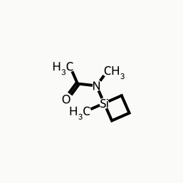 CC(=O)N(C)[Si]1(C)CCC1